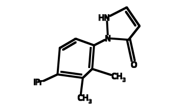 Cc1c(C(C)C)ccc(-n2[nH]ccc2=O)c1C